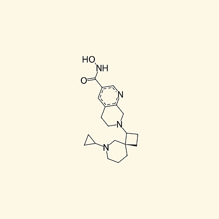 O=C(NO)c1cnc2c(c1)CCN(C1CC[C@]13CCCN(C1CC1)C3)C2